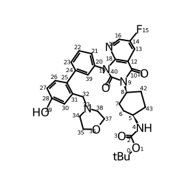 CC(C)(C)OC(=O)N[C@H]1CC[C@@H](n2c(=O)c3cc(F)cnc3n(-c3cccc(-c4ccc(O)cc4CN4CCOCC4)c3)c2=O)CC1